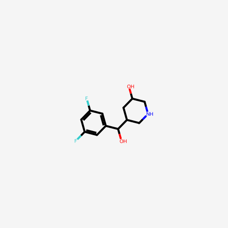 OC1CNCC(C(O)c2cc(F)cc(F)c2)C1